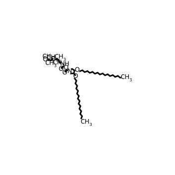 CCCCCCCCCCCCCCCCCCOC1CN(C(=O)OC(=O)NCCC(C)(C)OCC(C)(C)OC)CC1OCCCCCCCCCCCCCCCCCC